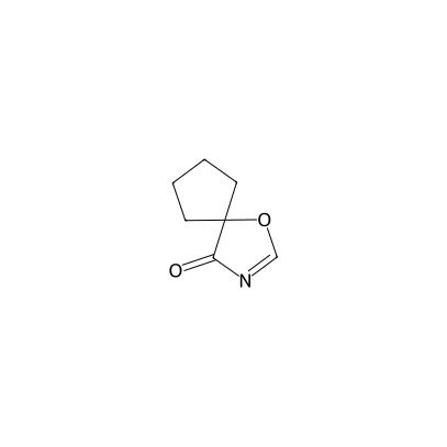 O=C1N=COC12CCCC2